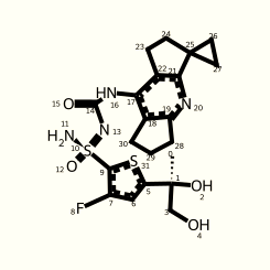 C[C@](O)(CO)c1cc(F)c([S@](N)(=O)=NC(=O)Nc2c3c(nc4c2CCC42CC2)CCC3)s1